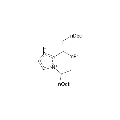 CCCCCCCCCCCC(CCC)c1[nH]cc[n+]1C(C)CCCCCCCC